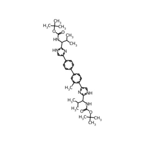 Cc1cc(-c2ccc(-c3c[nH]c(C(NC(=O)OC(C)(C)C)C(C)C)n3)cc2)ccc1-c1c[nH]c(C(NC(=O)OC(C)(C)C)C(C)C)n1